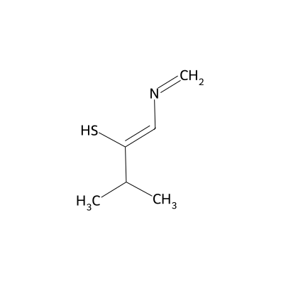 C=N/C=C(\S)C(C)C